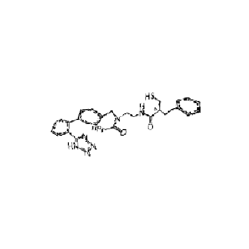 CCCC(=O)N(CCNC(=O)[C@@H](CS)Cc1ccccc1)Cc1ccc(-c2ccccc2-c2nnn[nH]2)cc1